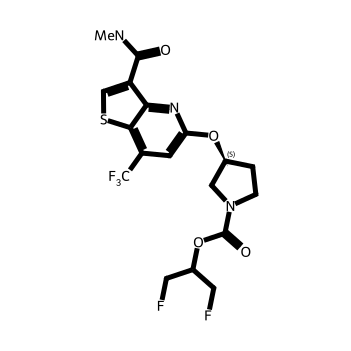 CNC(=O)c1csc2c(C(F)(F)F)cc(O[C@H]3CCN(C(=O)OC(CF)CF)C3)nc12